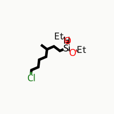 CCO[SiH](CCC(C)CCCCCl)OCC